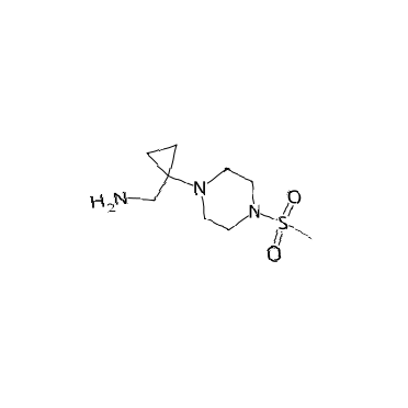 CS(=O)(=O)N1CCN(C2(CN)CC2)CC1